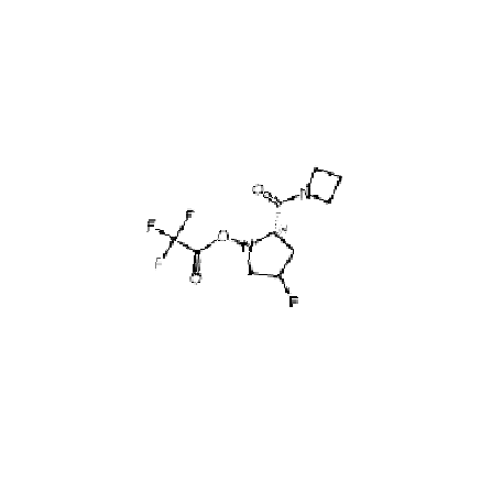 O=C([C@@H]1CC(F)CN1OC(=O)C(F)(F)F)N1CCC1